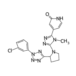 Cn1c(-c2cc[nH]c(=O)c2)nnc1N1CCCC1c1nnn(-c2cccc(Cl)c2)n1